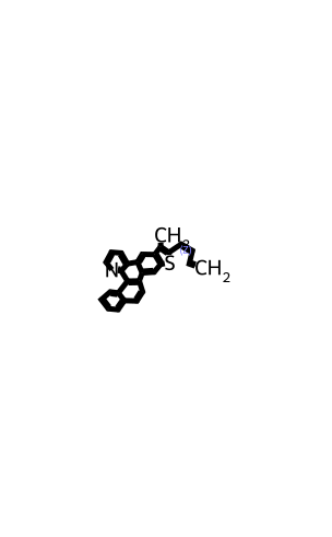 C=C/C=C\c1sc2cc3c(cc2c1C)c1cccnc1c1c2ccccc2ccc31